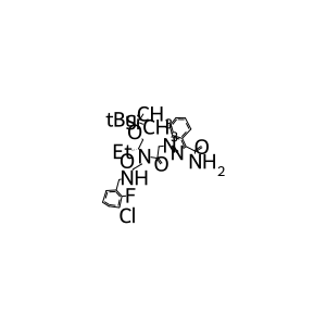 CC[C@H](CO[Si](C)(C)C(C)(C)C)N(CC(=O)NCc1cccc(Cl)c1F)C(=O)Cn1nc(C(N)=O)c2ccccc21